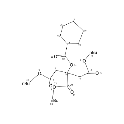 CCCCOC(=O)CC(CC(=O)OCCCC)(OC(=O)C1CCCCC1)C(=O)OCCCC